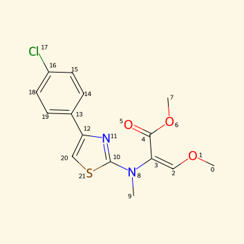 COC=C(C(=O)OC)N(C)c1nc(-c2ccc(Cl)cc2)cs1